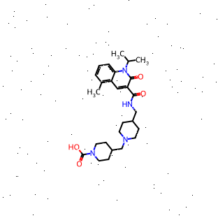 Cc1cccc2c1cc(C(=O)NCC1CCN(CC3CCN(C(=O)O)CC3)CC1)c(=O)n2C(C)C